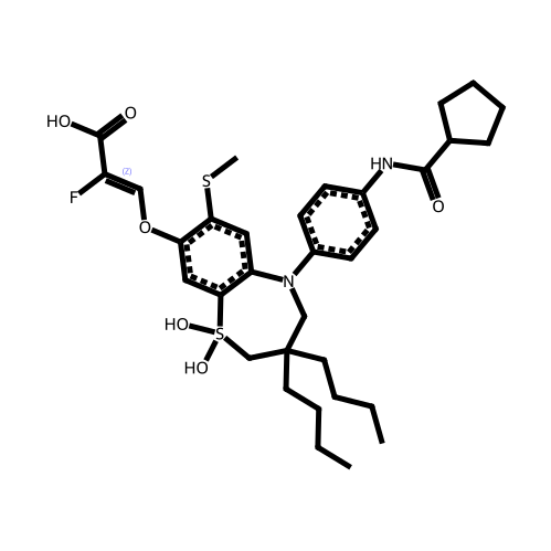 CCCCC1(CCCC)CN(c2ccc(NC(=O)C3CCCC3)cc2)c2cc(SC)c(O/C=C(\F)C(=O)O)cc2S(O)(O)C1